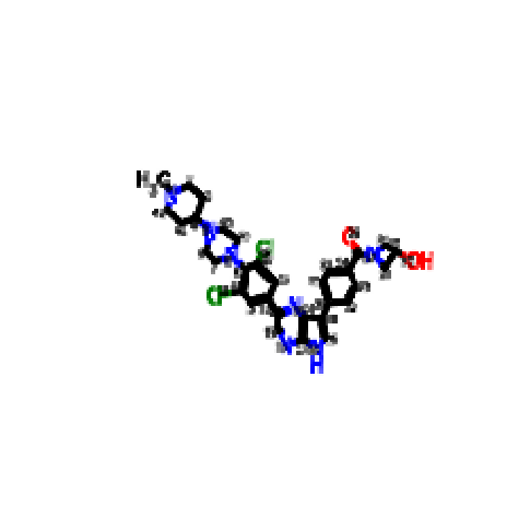 CN1CCC(N2CCN(c3c(Cl)cc(-c4cnc5[nH]cc(-c6ccc(C(=O)N7CC(O)C7)cc6)c5n4)cc3Cl)CC2)CC1